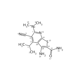 CC(C)c1c(C#N)c(N(C)C)nc2sc(C(N)=O)c(N)c12